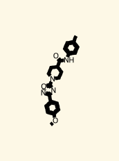 COc1ccc(-c2noc(N3CCC(C(=O)Nc4ccc(C)cc4)CC3)n2)cc1